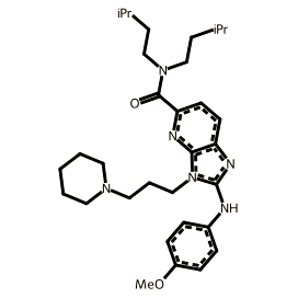 COc1ccc(Nc2nc3ccc(C(=O)N(CCC(C)C)CCC(C)C)nc3n2CCCN2CCCCC2)cc1